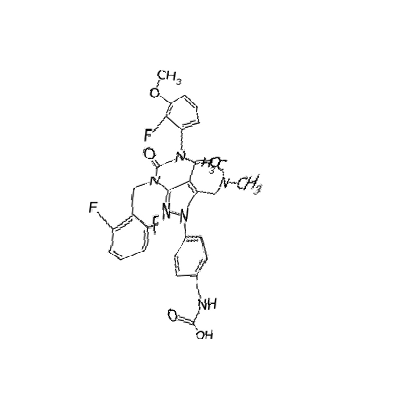 COc1cccc(-n2c(=O)c3c(CN(C)C)n(-c4ccc(NC(=O)O)cc4)nc3n(Cc3c(F)cccc3F)c2=O)c1F